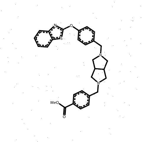 COC(=O)c1ccc(CN2CC3CN(Cc4ccc(Oc5nc6ccccc6s5)cc4)CC3C2)cc1